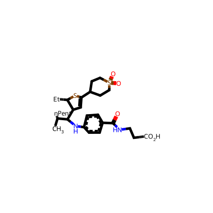 CCCCCC(C)C(Nc1ccc(C(=O)NCCC(=O)O)cc1)C1C=C(C2CCS(=O)(=O)CC2)SC1CC